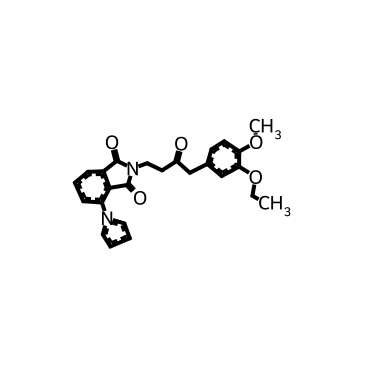 CCOc1cc(CC(=O)CCN2C(=O)c3cccc(-n4cccc4)c3C2=O)ccc1OC